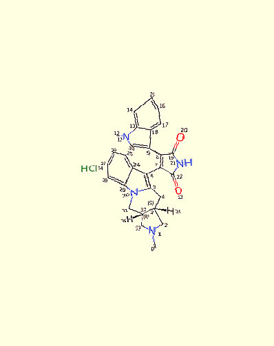 CN1C[C@H]2Cc3c(C4=C(c5cn(C)c6ccccc56)C(=O)NC4=O)c4ccccc4n3C[C@H]2C1.Cl